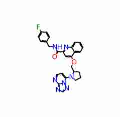 O=C(NCc1ccc(F)cc1)c1cc(OCC2CCCN2c2ccnc3ncnn23)c2ccccc2n1